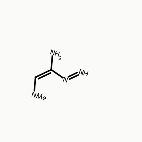 CN/C=C(/N)N=N